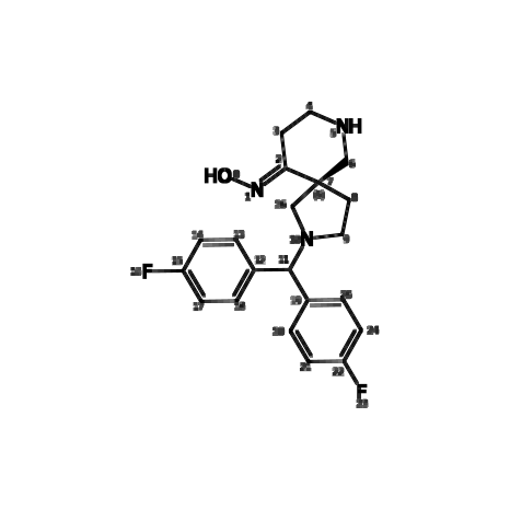 ON=C1CCNC[C@]12CCN(C(c1ccc(F)cc1)c1ccc(F)cc1)C2